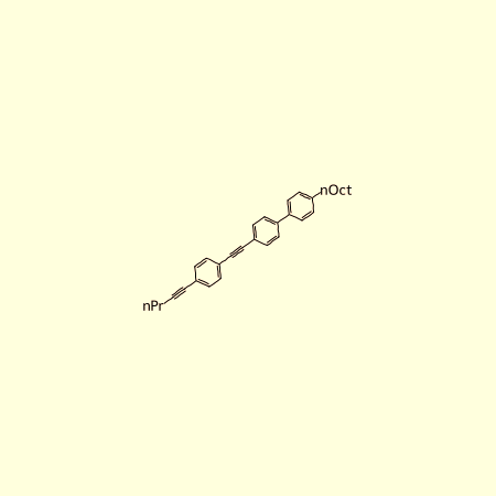 CCCC#Cc1ccc(C#Cc2ccc(-c3ccc(CCCCCCCC)cc3)cc2)cc1